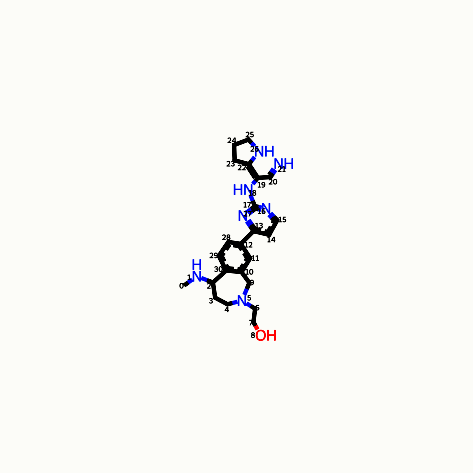 CNC1CCN(CCO)Cc2cc(-c3ccnc(N/C(C=N)=C4\CCCN4)n3)ccc21